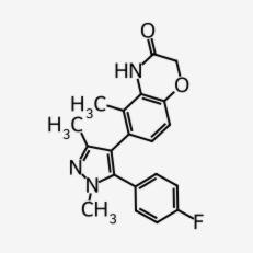 Cc1nn(C)c(-c2ccc(F)cc2)c1-c1ccc2c(c1C)NC(=O)CO2